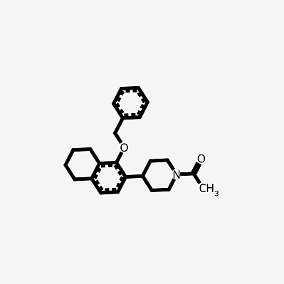 CC(=O)N1CCC(c2ccc3c(c2OCc2ccccc2)CCCC3)CC1